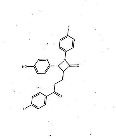 O=C(CC[C@@H]1C(=O)N(c2ccc(F)cc2)[C@H]1c1ccc(O)cc1)c1ccc(F)cc1